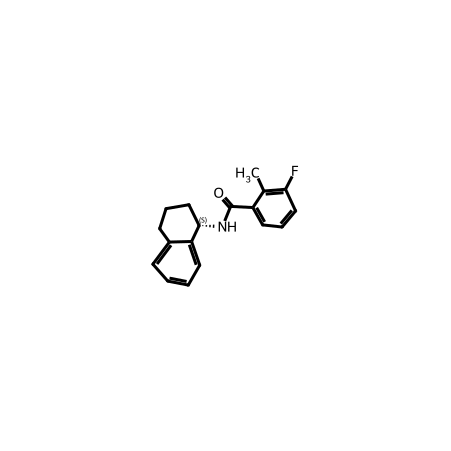 Cc1c(F)cccc1C(=O)N[C@H]1CCCc2ccccc21